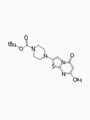 CC(C)(C)OC(=O)N1CCN(c2cn3c(=O)cc(O)nc3s2)CC1